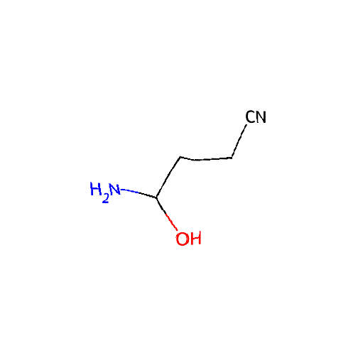 N#CCCC(N)O